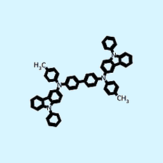 CC1=CC=C(N(c2ccc(-c3ccc(N(c4ccc(C)cc4)c4ccc5c(c4)c4ccccc4n5-c4ccccc4)cc3)cc2)c2ccc3c(c2)c2ccccc2n3C2=CC=CCC2)CC1